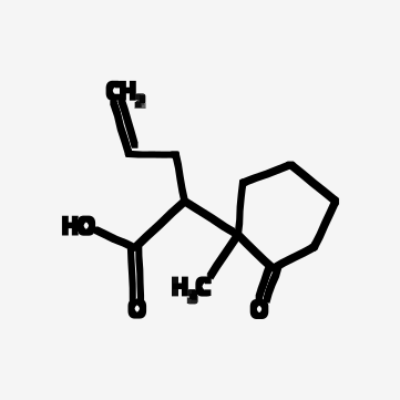 C=CCC(C(=O)O)C1(C)CCCCC1=O